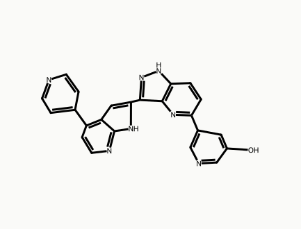 Oc1cncc(-c2ccc3[nH]nc(-c4cc5c(-c6ccncc6)ccnc5[nH]4)c3n2)c1